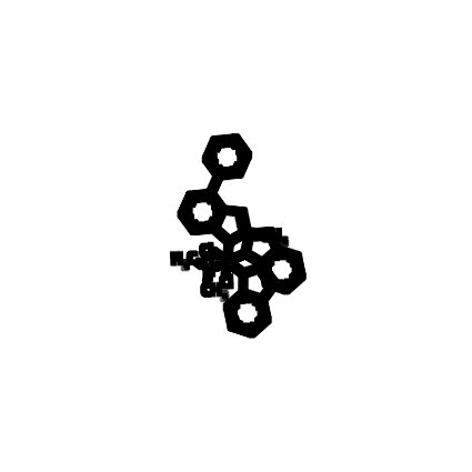 CC1=Cc2c(-c3ccccc3)cccc2[CH]1[Zr]([Cl])([Cl])([CH]1C=Cc2ccccc21)([CH]1C=Cc2ccccc21)[SiH](C)C